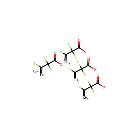 C=C(F)C(F)(F)C(=O)[O-].C=C(F)C(F)(F)C(=O)[O-].C=C(F)C(F)(F)C(=O)[O-].C=C(F)C(F)(F)C(=O)[O-].[Ru+4]